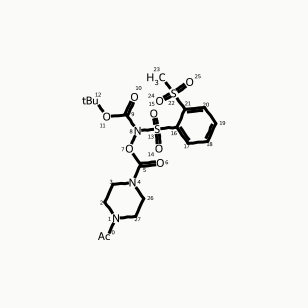 CC(=O)N1CCN(C(=O)ON(C(=O)OC(C)(C)C)S(=O)(=O)c2ccccc2S(C)(=O)=O)CC1